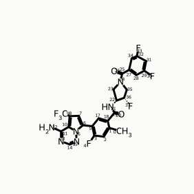 Cc1cc(F)c(-c2cc(C(F)(F)F)c3c(N)ncnn23)cc1C(=O)N[C@@H]1CN(C(=O)c2cc(F)cc(F)c2)C[C@@H]1F